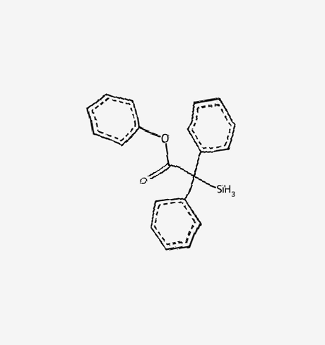 O=C(Oc1ccccc1)C([SiH3])(c1ccccc1)c1ccccc1